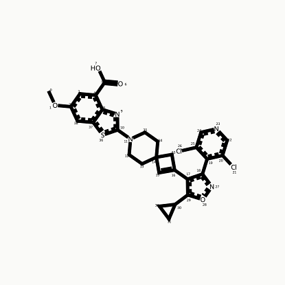 COc1cc(C(=O)O)c2nc(N3CCC4(C=C(c5c(-c6c(Cl)cncc6Cl)noc5C5CC5)C4)CC3)sc2c1